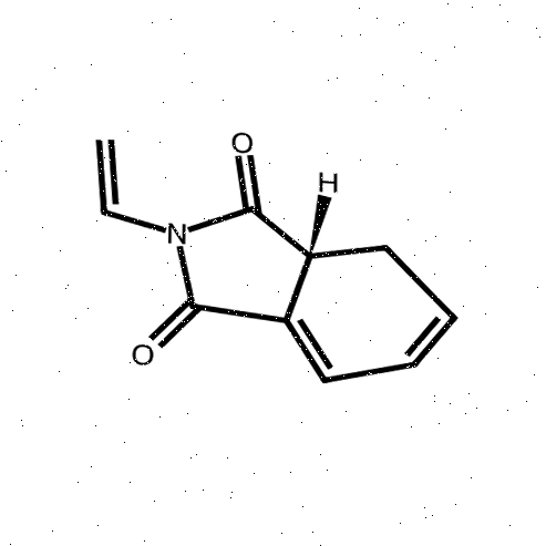 C=CN1C(=O)C2=CC=CC[C@H]2C1=O